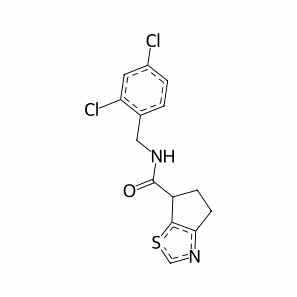 O=C(NCc1ccc(Cl)cc1Cl)C1CCc2ncsc21